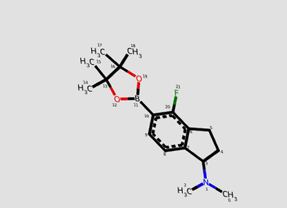 CN(C)C1CCc2c1ccc(B1OC(C)(C)C(C)(C)O1)c2F